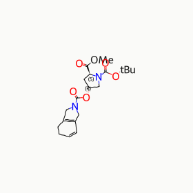 COC(=O)[C@@H]1C[C@@H](OC(=O)N2CC3=C(CCC=C3)C2)CN1C(=O)OC(C)(C)C